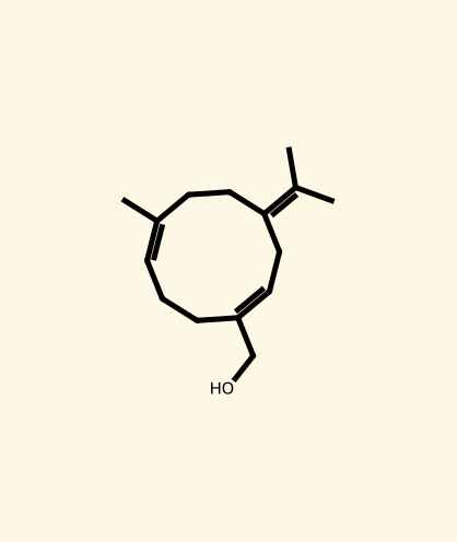 CC(C)=C1C/C=C(/CO)CC/C=C(/C)CC1